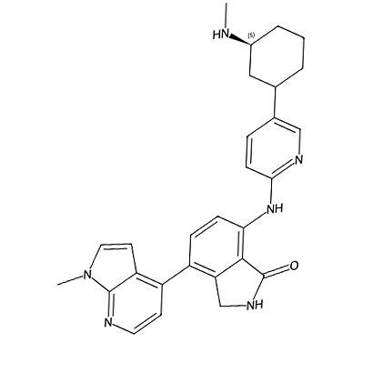 CN[C@H]1CCCC(c2ccc(Nc3ccc(-c4ccnc5c4ccn5C)c4c3C(=O)NC4)nc2)C1